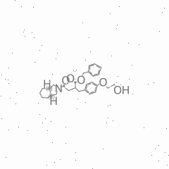 O=C(OCc1ccccc1)C(CC(=O)N1C[C@H]2CCCC[C@H]2C1)Cc1ccc(OCCO)cc1